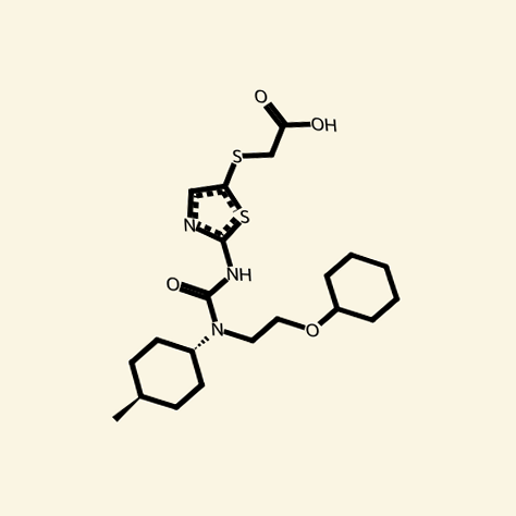 C[C@H]1CC[C@H](N(CCOC2CCCCC2)C(=O)Nc2ncc(SCC(=O)O)s2)CC1